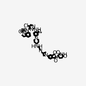 COc1cc(N2CCC(NCCNCC3CN(c4ccc5c(c4)C(=O)N(C4CCC(=O)NC4=O)C5=O)C3)CC2)ccc1Nc1ncc(Cl)c(Nc2cccc3c2N(S(C)(=O)=O)CC3)n1